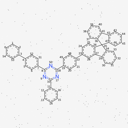 c1ccc(-c2ccc(-c3nc(-c4ccccc4)nc(-c4ccc(-c5ccc6c(c5)-c5ccccc5C65c6ccccc6-c6ccccc65)cc4)n3)cc2)cc1